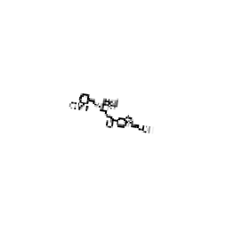 COc1ccccc1CCNCCCCC(=O)c1ccc2c(c1)CCN2CCCO.Cl.Cl